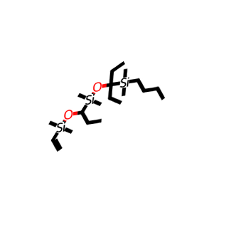 C=C[Si](C)(C)OC(CC)[Si](C)(C)OC(CC)(CC)[Si](C)(C)CCCC